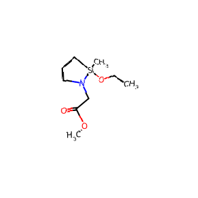 CCO[Si]1(C)CCCN1CC(=O)OC